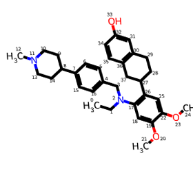 CCN(Cc1ccc(C2CCN(C)CC2)cc1)c1cc(OC)c(OC)cc1C1CCc2cc(O)ccc2C1